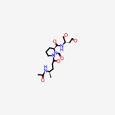 CC(=O)N[C@H](C)CCC(=O)N1CCC[C@@H](C(=O)N[C@H](C=O)CC=O)N1C=O